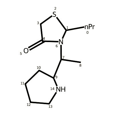 CCCC1SCC(=O)N1C(C)C1CCCCN1